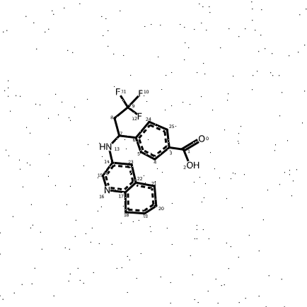 O=C(O)c1ccc(C(CC(F)(F)F)Nc2cnc3ccccc3c2)cc1